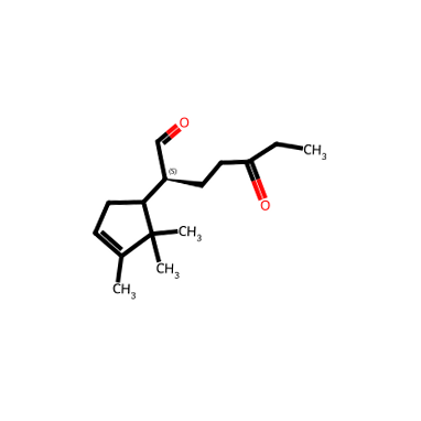 CCC(=O)CC[C@H](C=O)C1CC=C(C)C1(C)C